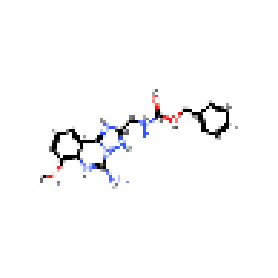 COc1cccc2c1nc(N)n1nc(CNC(=O)OCc3ccccc3)nc21